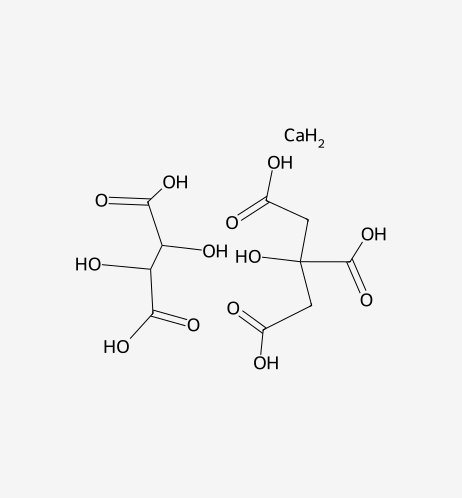 O=C(O)C(O)C(O)C(=O)O.O=C(O)CC(O)(CC(=O)O)C(=O)O.[CaH2]